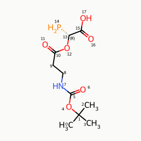 CC(C)(C)OC(=O)NCCC(=O)O[C@H](P)C(=O)O